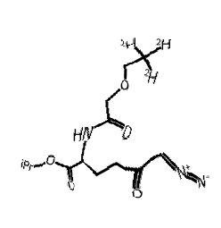 [2H]C([2H])([2H])COCC(=O)N[C@@H](CCC(=O)C=[N+]=[N-])C(=O)OC(C)C